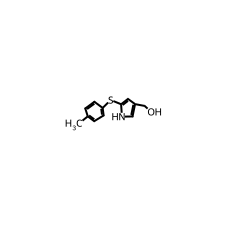 Cc1ccc(Sc2cc(CO)c[nH]2)cc1